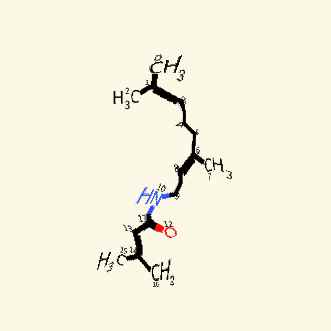 CC(C)=CCCC(C)=CCNC(=O)C=C(C)C